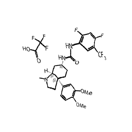 COc1ccc([C@@]23CC[C@@H](NC(=O)Nc4cc(C(F)(F)F)c(F)cc4F)C[C@@H]2N(C)CC3)cc1OC.O=C(O)C(F)(F)F